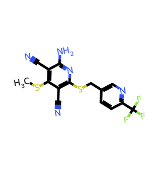 CSc1c(C#N)c(N)nc(SCc2ccc(C(F)(F)F)nc2)c1C#N